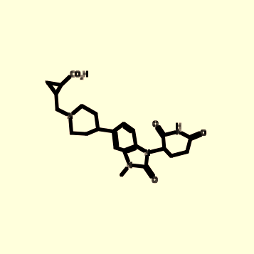 Cn1c(=O)n(C2CCC(=O)NC2=O)c2ccc(C3CCN(CC4CC4C(=O)O)CC3)cc21